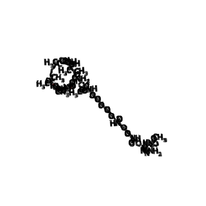 COc1cccc2cc(-c3nc([C@H]4CC[C@H](C(=O)NCCOCCOCCNC(=O)CCOCCOCCOCCOCCOCCNC(=O)O[C@@H]5CC[C@@H](C[C@@H](N)[C@@H]6CC(=O)[C@H](C)/C=C(\C)[C@@H](O)[C@@H](O)C(=O)[C@H](C)C[C@H](C)/C=C/C=C/C=C(\C)[C@@H](OC)C[C@@H]7CC[C@@H](C)[C@@](O)(O7)C(=O)C(=O)N7CCCC[C@H]7C(=O)O6)C[C@H]5OC)CC4)n4ncnc(N)c34)[nH]c12